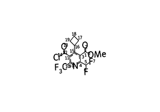 COC(=O)c1c(C(F)F)nc(C(F)(F)F)c(C(=O)Cl)c1C1CCC1